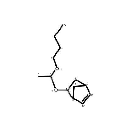 CCCCOC(C)OC1CC2C=CC1C2